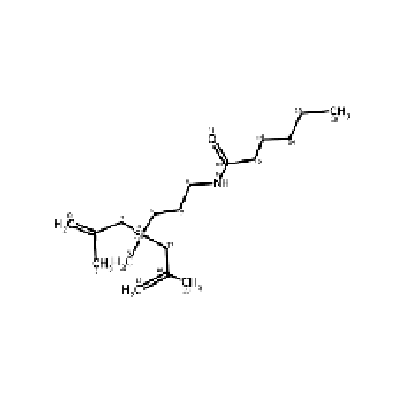 C=C(C)C[Si](C)(CCCNC(=O)CCCCC)CC(=C)C